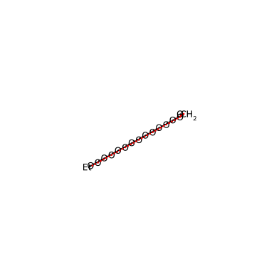 C=CC(=O)OCCCCOCCCCOCCCCOCCCCOCCCCOCCCCOCCCCOCCCCOCCCCOCCCCOCCCCOCCCCOCCCCOCC